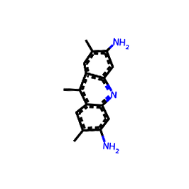 Cc1cc2c(C)c3cc(C)c(N)cc3nc2cc1N